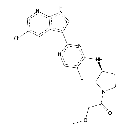 COCC(=O)N1CC[C@H](Nc2nc(-c3c[nH]c4ncc(Cl)cc34)ncc2F)C1